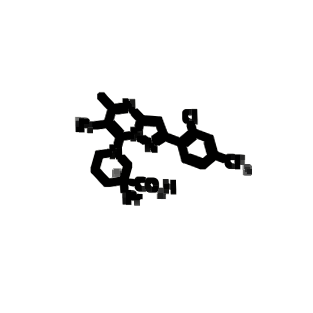 Cc1nc2cc(-c3ccc(C(F)(F)F)cc3Cl)nn2c(N2CCC[C@@](C(=O)O)(C(C)C)C2)c1C(C)C